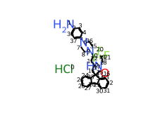 Cl.Nc1ccc(N2CCN(CCCCC3(C(=O)NCC(F)(F)F)c4ccccc4-c4ccccc43)CC2)cc1